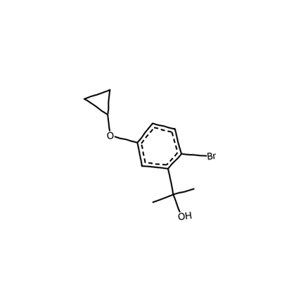 CC(C)(O)c1cc(OC2CC2)ccc1Br